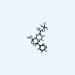 COC(=O)C1CN(C(=O)OC(C)(C)C)CCN1C(=O)c1cccnc1